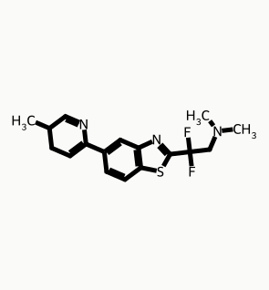 CC1C=NC(c2ccc3sc(C(F)(F)CN(C)C)nc3c2)=CC1